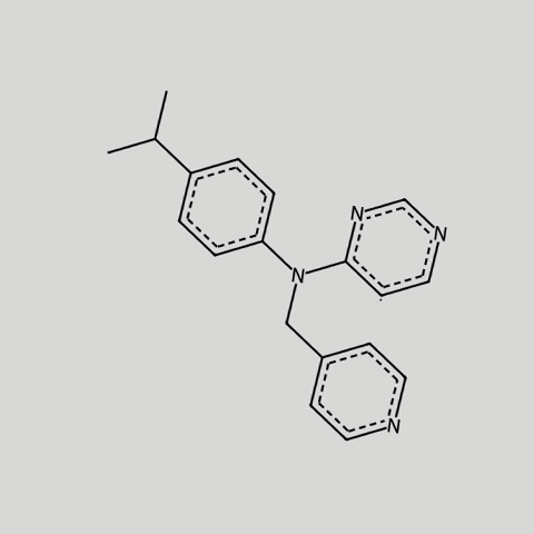 CC(C)c1ccc(N(Cc2ccncc2)c2[c]cncn2)cc1